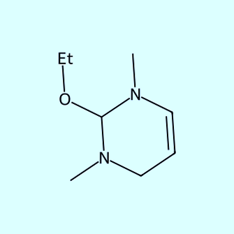 CCOC1N(C)C=CCN1C